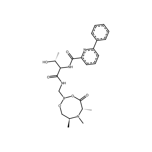 C[C@@H](O)C(NC(=O)c1cccc(-c2ccccc2)n1)C(=O)NCB1OC[C@H](C)N(C)[C@@H](C)C(=O)O1